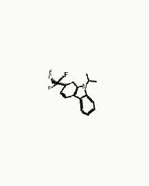 CC(C)n1c2c(c3ccccc31)C=CC(C(F)(F)F)C2